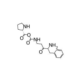 NC(Cc1ccccc1)C(=O)CCNC(=O)OC(=O)[C@@H]1CCCN1